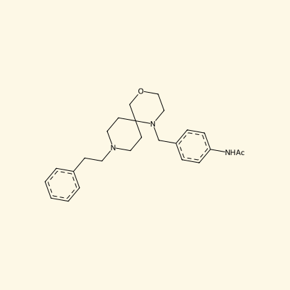 CC(=O)Nc1ccc(CN2CCOCC23CCN(CCc2ccccc2)CC3)cc1